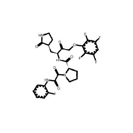 O=C(Nc1ccccc1F)C(=O)N1CCC[C@H]1C(=O)N[C@@H](C[C@@H]1CCNC1=O)C(=O)COc1c(F)c(F)cc(F)c1F